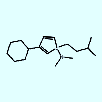 CC(C)CCS1(N(C)C)C=CC(C2CCCCC2)=C1